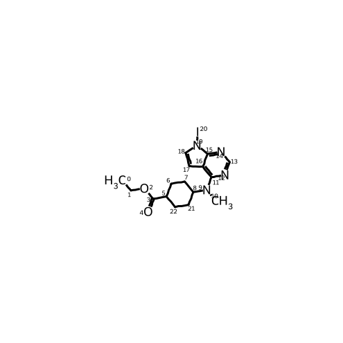 CCOC(=O)C1CCC(N(C)c2ncnc3c2ccn3I)CC1